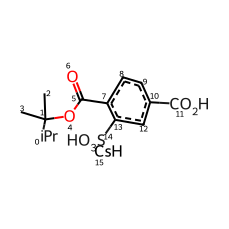 CC(C)C(C)(C)OC(=O)c1ccc(C(=O)O)cc1S(=O)(=O)O.[CsH]